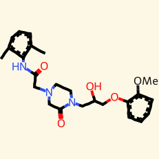 COc1ccccc1OCC(O)CN1CCN(CC(=O)Nc2c(C)cccc2C)CC1=O